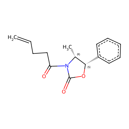 C=CCCC(=O)N1C(=O)O[C@@H](c2ccccc2)[C@H]1C